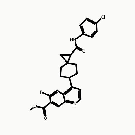 COC(=O)c1cc2nccc(C3CCC4(CC3)CC4C(=O)Nc3ccc(Cl)cc3)c2cc1F